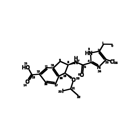 CCc1[nH]c(C(=O)N[C@@H]2Cc3cc(C(=O)O)ccc3[C@@H]2OC(C)I)nc1Cl